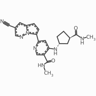 CNC(=O)c1cnc(-c2ccc3cc(C#N)cnn23)cc1N[C@@H]1CC[C@@H](C(=O)NC)C1